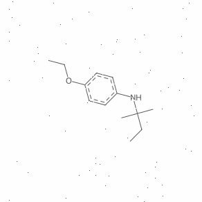 CCOc1ccc(NC(C)(C)CC)cc1